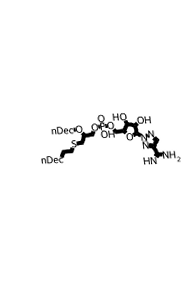 CCCCCCCCCCCCSCC(COP(=O)(O)OCC1OC(n2ncc(C(=N)N)n2)C(O)C1O)OCCCCCCCCCC